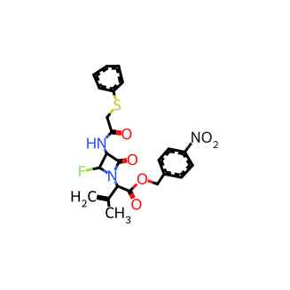 C=C(C)C(C(=O)OCc1ccc([N+](=O)[O-])cc1)N1C(=O)C(NC(=O)CSc2ccccc2)C1F